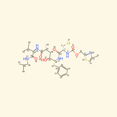 CSC[C@H](NC(=O)OCc1nc(C)cs1)C(=O)N[C@H](Cc1ccccc1)[C@@H](O)C[C@@H](C)C(=O)N[C@@H](C(=O)NCC(C)C)C(C)C